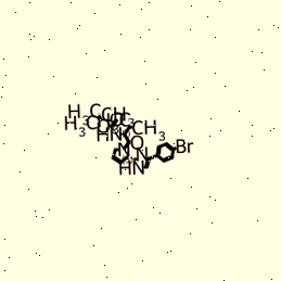 CC(C)[C@H](NC(=O)OC(C)(C)C)C(=O)N1CC=C[C@H]1c1nc(-c2ccc(Br)cc2)c[nH]1